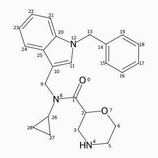 O=C(C1CNCCO1)N(Cc1cn(Cc2ccccc2)c2ccccc12)C1CC1